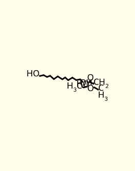 C=CC(=O)O.CCCOCCC.OCCCCCCCCCCCCO